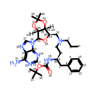 CCCN(CC[C@@H](Cc1ccccc1)NC(=O)OC(C)(C)C)C[C@H]1OC(n2cnc3c(N)ncnc32)[C@@H]2OC(C)(C)O[C@H]12